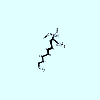 CO[SiH](OC)C(N)CCCCCCCN